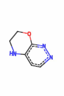 c1cc2c(nn1)OCCN2